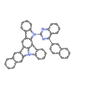 c1ccc2cc(-c3nc(-n4c5ccccc5c5cc6c7cc8ccccc8cc7n7c8ccccc8c(c54)c67)nc4ccccc34)ccc2c1